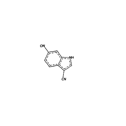 N#Cc1c[nH]c2cc(N=O)ccc12